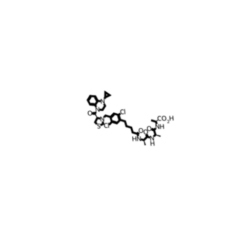 C[C@@H](NC(=O)[C@@H](C)NC(=O)[C@@H](C)NC(=O)CCCCc1cc(Cl)c(CN2CSC[C@H]2C(=O)N2CCN(C3CC3)c3ccccc32)cc1Cl)C(=O)O